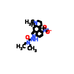 CCN(CC)C(=O)Nn1cc2c3c(c([N+](=O)[O-])ccc31)[C@H]1CCCN(C)[C@@H]1C2